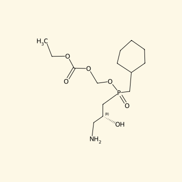 CCOC(=O)OCOP(=O)(CC1CCCCC1)C[C@H](O)CN